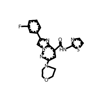 O=C(Nc1nccs1)c1cc(N2CCOCC2)nn2cc(-c3cccc(F)c3)nc12